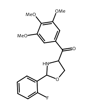 COc1cc(C(=O)C2COC(c3ccccc3F)N2)cc(OC)c1OC